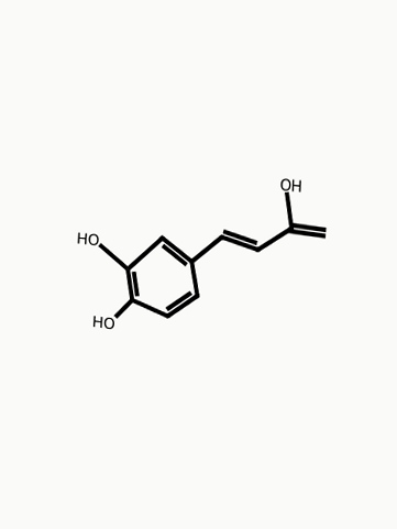 C=C(O)/C=C/c1ccc(O)c(O)c1